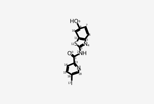 O=C(Nc1nc2ccc(O)cc2s1)c1ccc(I)cn1